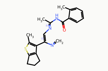 C=N/C(=C\N=C(/C)NC(=O)c1ccccc1C)c1c(C)sc2c1CCC2